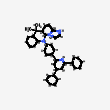 CC1(C)c2ccccc2N(c2ccc(-c3cc(-c4ccccc4)cc(-c4ccccc4)n3)cc2)c2c1ccc1nccn21